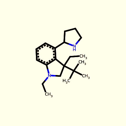 CCN1CC(CC)(C(C)(C)C)c2c(C3CCCN3)cccc21